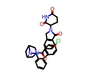 O=C1CCC(N2Cc3cc(C(=O)N4CC5CC(C4)N5Cc4ccccc4-c4ccc(Cl)cc4)ccc3C2=O)C(=O)N1